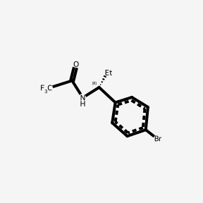 CC[C@@H](NC(=O)C(F)(F)F)c1ccc(Br)cc1